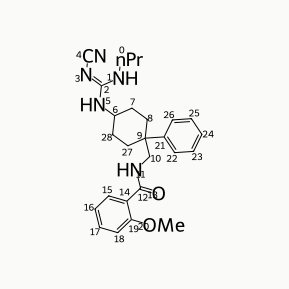 CCCN/C(=N\C#N)NC1CCC(CNC(=O)c2ccccc2OC)(c2ccccc2)CC1